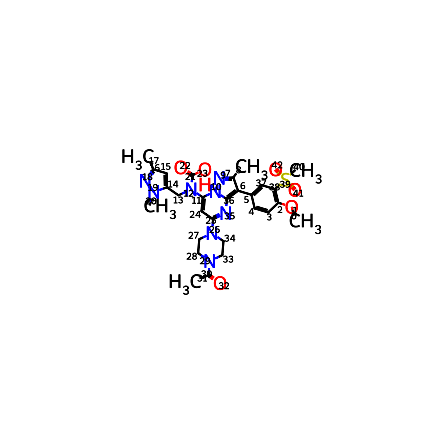 COc1ccc(-c2c(C)nn3c(N(Cc4cc(C)nn4C)C(=O)O)cc(N4CCN(C(C)=O)CC4)nc23)cc1S(C)(=O)=O